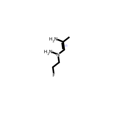 C/C(N)=C/N(N)CCF